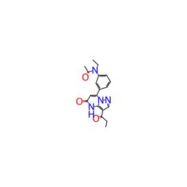 CCC(=O)c1cnn2c(-c3cccc(N(CC)C(C)=O)c3)cc(=O)[nH]c12